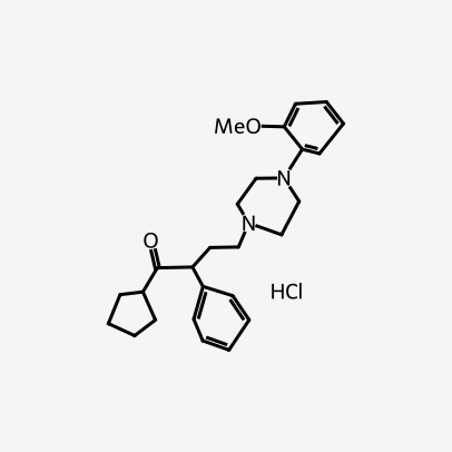 COc1ccccc1N1CCN(CCC(C(=O)C2CCCC2)c2ccccc2)CC1.Cl